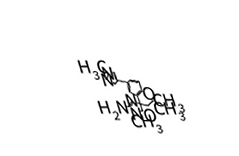 CN1C(=O)C2(CC(C)(C)Oc3ccc(-c4cnn(C)c4)cc32)N=C1N